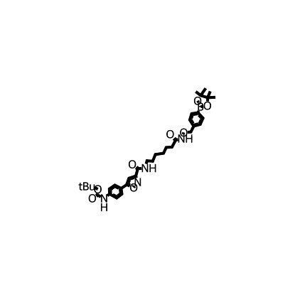 CC(C)(C)OC(=O)Nc1ccc(-c2cc(C(=O)NCCCCCCC(=O)NOCc3ccc(B4OC(C)(C)C(C)(C)O4)cc3)no2)cc1